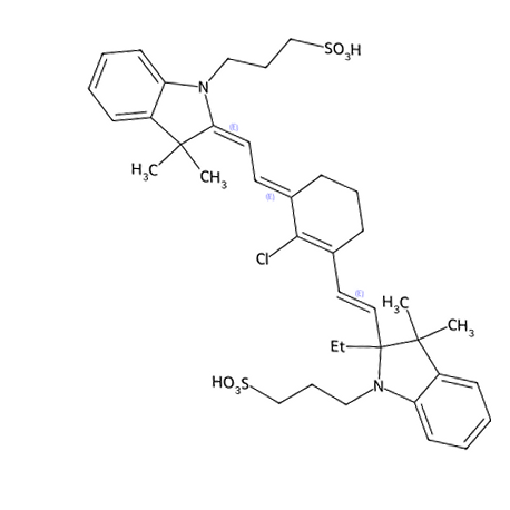 CCC1(/C=C/C2=C(Cl)C(=C/C=C3/N(CCCS(=O)(=O)O)c4ccccc4C3(C)C)/CCC2)N(CCCS(=O)(=O)O)c2ccccc2C1(C)C